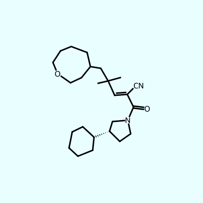 CC(C)(/C=C(\C#N)C(=O)N1CC[C@H](C2CCCCC2)C1)CC1CCCCOCC1